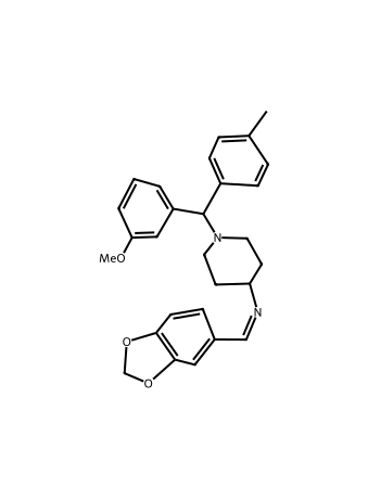 COc1cccc(C(c2ccc(C)cc2)N2CCC(/N=C\c3ccc4c(c3)OCO4)CC2)c1